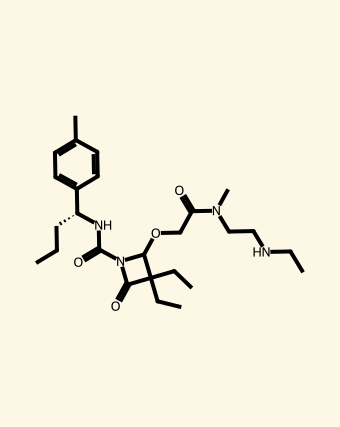 CCC[C@@H](NC(=O)N1C(=O)C(CC)(CC)C1OCC(=O)N(C)CCNCC)c1ccc(C)cc1